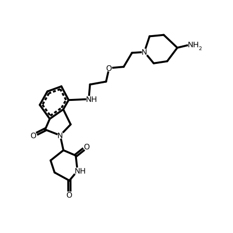 NC1CCN(CCOCCNc2cccc3c2CN(C2CCC(=O)NC2=O)C3=O)CC1